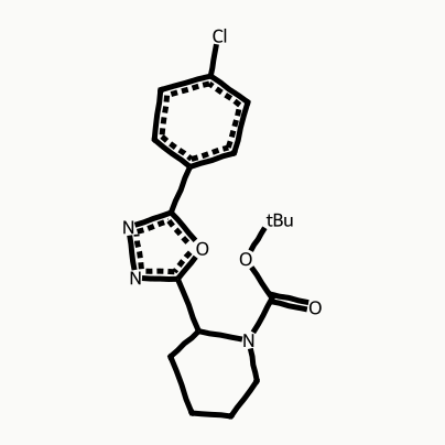 CC(C)(C)OC(=O)N1CCCCC1c1nnc(-c2ccc(Cl)cc2)o1